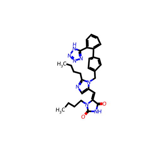 CCCCc1ncc(C=C2C(=O)NC(=O)N2CCCC)n1Cc1ccc(-c2ccccc2-c2nnn[nH]2)cc1